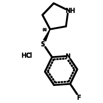 Cl.Fc1ccc(S[C@H]2CCNC2)nc1